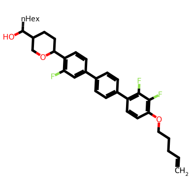 C=CCCCOc1ccc(-c2ccc(-c3ccc(C4CCC(C(O)CCCCCC)CO4)c(F)c3)cc2)c(F)c1F